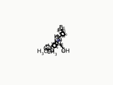 CC1(C)OCCN(c2ccc3c(c2)[nH]/c(=N\C(=O)c2cccc(C(F)(F)F)c2)n3CCCO)C1=O